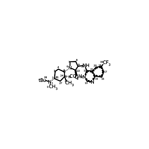 CN([C@@H]1CC[C@H](N2CCC(Nc3ncnc4ccc(C(F)(F)F)cc34)C2=O)[C@](C)(C(=O)O)C1)C(C)(C)C